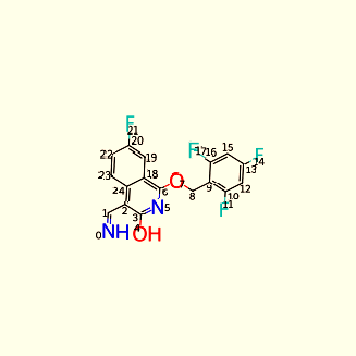 N=Cc1c(O)nc(OCc2c(F)cc(F)cc2F)c2cc(F)ccc12